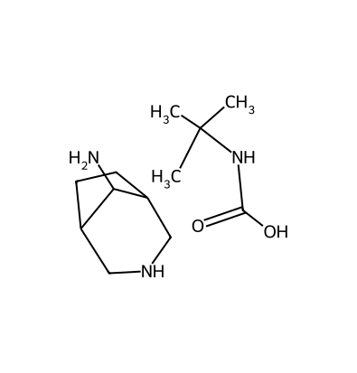 CC(C)(C)NC(=O)O.NC1C2CCC1CNC2